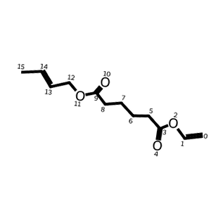 C=COC(=O)CCCCC(=O)OCC=CC